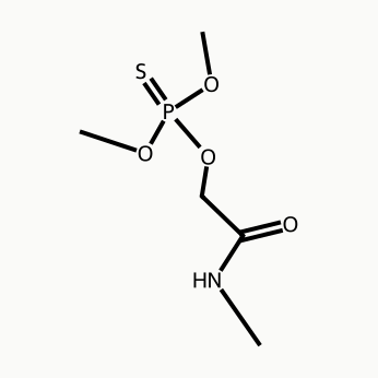 CNC(=O)COP(=S)(OC)OC